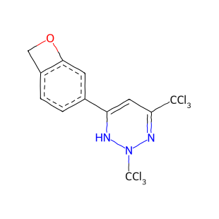 ClC(Cl)(Cl)C1=NN(C(Cl)(Cl)Cl)NC(c2ccc3c(c2)OC3)=C1